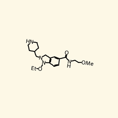 CCON1c2ccc(C(=O)NCCOC)cc2CN1CC1CCNCC1